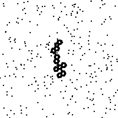 c1ccc2c(-c3c4ccccc4c(-c4ccc5cc(-c6cccc7c6ccc6c8ccccc8sc76)ccc5c4)c4ccccc34)cccc2c1